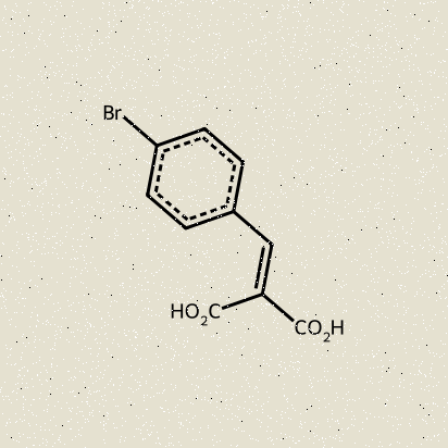 O=C(O)C(=Cc1ccc(Br)cc1)C(=O)O